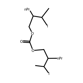 CCCC(COC(=O)OCC(CCC)C(C)I)C(C)I